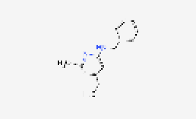 CCc1cc(C)nc(NCc2ccccc2)c1